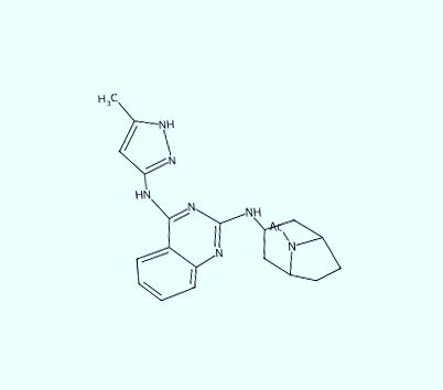 CC(=O)N1C2CCC1CC(Nc1nc(Nc3cc(C)[nH]n3)c3ccccc3n1)C2